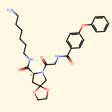 NCCCCCCNC(=O)[C@@H]1CC2(CN1C(=O)CNC(=O)c1ccc(Oc3ccccc3)cc1)OCCO2